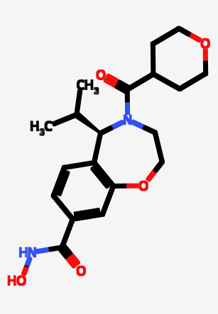 CC(C)[C@@H]1c2ccc(C(=O)NO)cc2OCCN1C(=O)C1CCOCC1